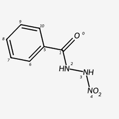 O=C(NN[N+](=O)[O-])c1ccccc1